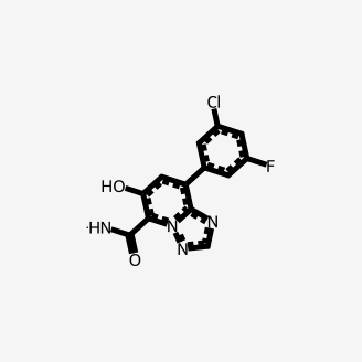 [NH]C(=O)c1c(O)cc(-c2cc(F)cc(Cl)c2)c2ncnn12